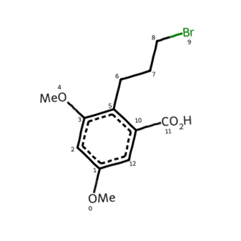 COc1cc(OC)c(CCCBr)c(C(=O)O)c1